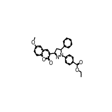 CCOC(=O)c1ccc(N2N=C(c3cc4cc(OC)ccc4oc3=O)CC2c2ccccc2)cc1